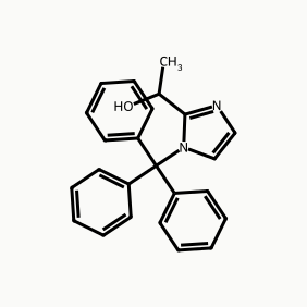 CC(O)c1nccn1C(c1ccccc1)(c1ccccc1)c1ccccc1